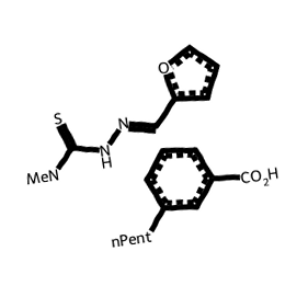 CCCCCc1cccc(C(=O)O)c1.CNC(=S)NN=Cc1ccco1